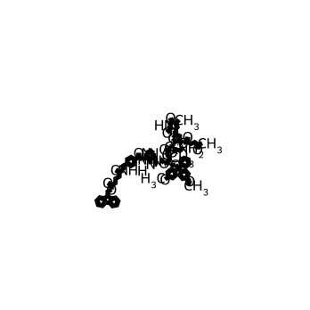 COc1ccc(C(OC[C@@H](OCn2cnc3c(NC(=O)c4ccc(CNC(=O)CCCC(=O)OCC5c6ccccc6-c6ccccc65)cc4)ncnc32)C(C)OP(=O)(OCCN)OC[C@H]2OC(n3cc(C)c(=O)[nH]c3=O)CC2OC(=O)CCC(C)=O)(c2ccccc2)c2ccc(OC)cc2)cc1